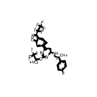 O=C(O)C(F)(F)F.O[C@@H](CNc1cc(-c2ccc3c(C(F)(F)C(F)(F)F)noc3c2)ncn1)c1ccc(F)cc1